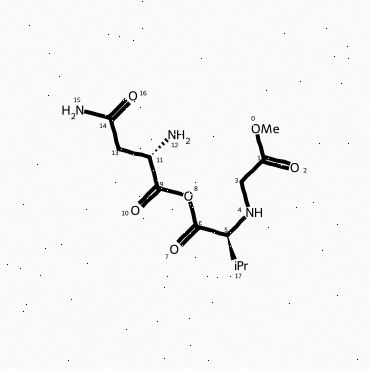 COC(=O)CN[C@H](C(=O)OC(=O)[C@@H](N)CC(N)=O)C(C)C